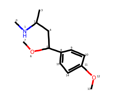 CNC(C)CC(OC)c1ccc(OC)cc1